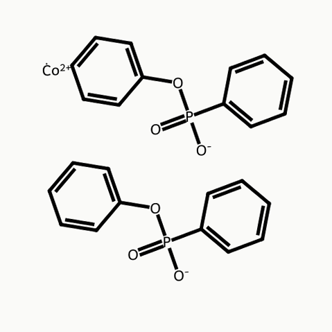 O=P([O-])(Oc1ccccc1)c1ccccc1.O=P([O-])(Oc1ccccc1)c1ccccc1.[Co+2]